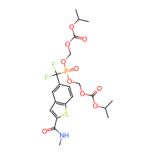 CNC(=O)c1cc2cc(C(F)(F)P(=O)(OCOC(=O)OC(C)C)OCOC(=O)OC(C)C)ccc2s1